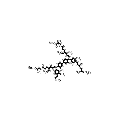 C=C/C(CCC(=O)OCC(=C)C(=O)OC)=C(C)\C=C\N(c1ccc(CCC(=O)OCC(=C)C(=O)OCC)c(C)c1)c1ccc(-c2ccc(N(/C=C/C(C)=C(\C=C)CCC(=O)OCC(=C)C(=O)OCC)c3ccc(CCC=O)c(C)c3)c(C)c2)cc1C